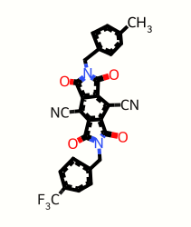 Cc1ccc(Cn2c(=O)c3c(C#N)c4c(=O)n(Cc5ccc(C(F)(F)F)cc5)c(=O)c4c(C#N)c3c2=O)cc1